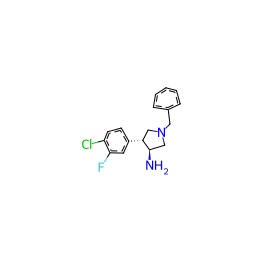 N[C@@H]1CN(Cc2ccccc2)C[C@H]1c1ccc(Cl)c(F)c1